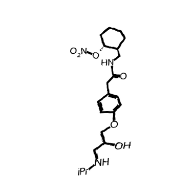 CC(C)NCC(O)COc1ccc(CC(=O)NC[C@@H]2CCCC[C@H]2O[N+](=O)[O-])cc1